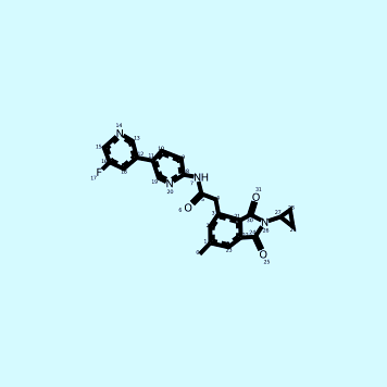 Cc1cc(CC(=O)Nc2ccc(-c3cncc(F)c3)cn2)c2c(c1)C(=O)N(C1CC1)C2=O